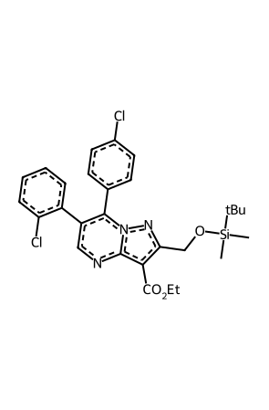 CCOC(=O)c1c(CO[Si](C)(C)C(C)(C)C)nn2c(-c3ccc(Cl)cc3)c(-c3ccccc3Cl)cnc12